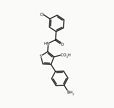 Bc1ccc(-c2csc(NC(=O)c3cccc(Cl)c3)c2C(=O)O)cc1